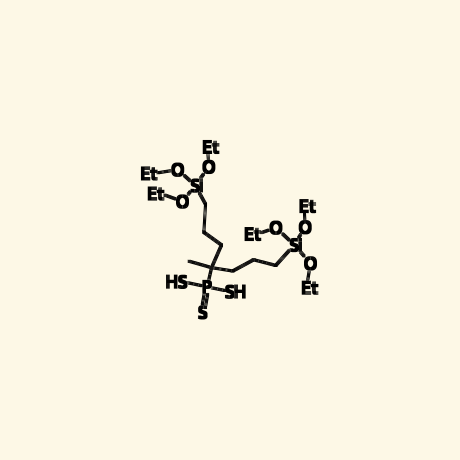 CCO[Si](CCCC(C)(CCC[Si](OCC)(OCC)OCC)P(=S)(S)S)(OCC)OCC